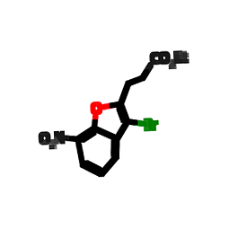 CCOC(=O)CCc1oc2c([N+](=O)[O-])cccc2c1Br